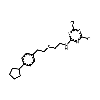 Clc1nc(Cl)nc(NCCSCCc2ccc(C3CCCC3)cc2)n1